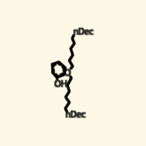 CCCCCCCCCCCCCCCCOCCCCCCCCCCCCCCCC.Oc1ccccc1